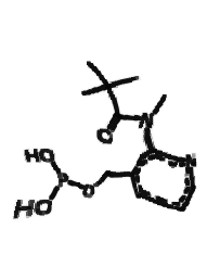 CN(C(=O)C(C)(C)C)c1ncccc1COP(O)O